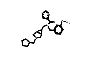 O=C(c1cscn1)N(Cc1cccc(OC(F)(F)F)c1)CC1C2CN(CC3CCCC3)CC21